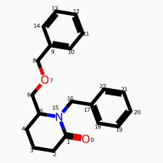 O=C1CCCC(COCc2ccccc2)N1Cc1ccccc1